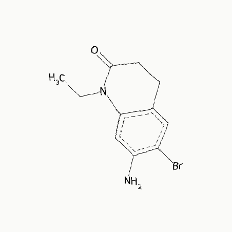 CCN1C(=O)CCc2cc(Br)c(N)cc21